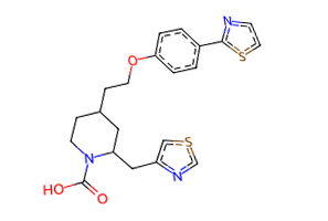 O=C(O)N1CCC(CCOc2ccc(-c3nccs3)cc2)CC1Cc1cscn1